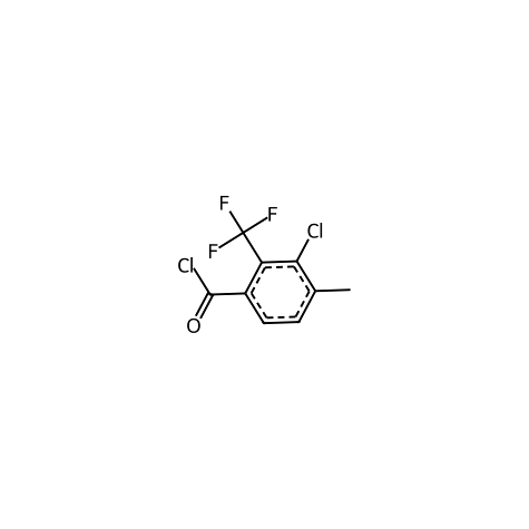 Cc1ccc(C(=O)Cl)c(C(F)(F)F)c1Cl